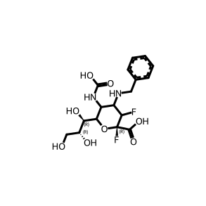 O=C(O)NC1C(NCc2ccccc2)C(F)[C@](F)(C(=O)O)OC1[C@H](O)[C@H](O)CO